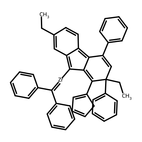 CCc1ccc2c(c1)=[C]([Zr]=[C](c1ccccc1)c1ccccc1)C1=C(C3=CC=CC3)C(CC)(c3ccccc3)C=C(c3ccccc3)C=21